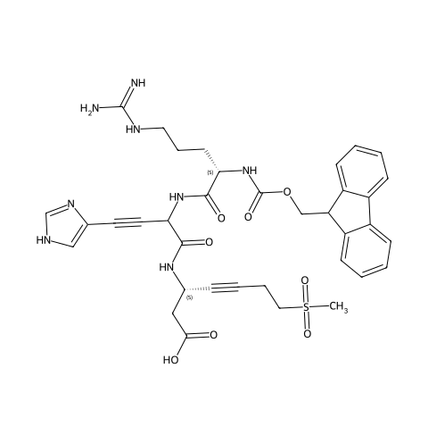 CS(=O)(=O)CCC#C[C@H](CC(=O)O)NC(=O)C(C#Cc1c[nH]cn1)NC(=O)[C@H](CCCNC(=N)N)NC(=O)OCC1c2ccccc2-c2ccccc21